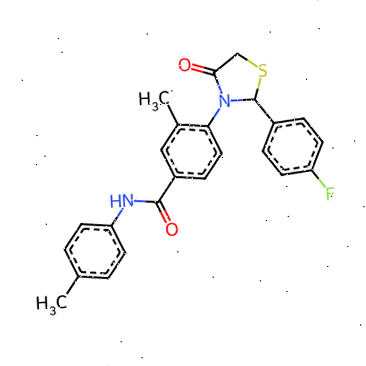 Cc1ccc(NC(=O)c2ccc(N3C(=O)CSC3c3ccc(F)cc3)c(C)c2)cc1